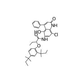 CCC(Oc1ccc(C(C)(C)CC)cc1C(C)(C)CC)C(=O)Nc1cc(Cl)c2[nH]c(=O)cc(-c3ccccc3)c2c1O